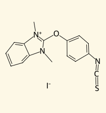 Cn1c(Oc2ccc(N=C=S)cc2)[n+](C)c2ccccc21.[I-]